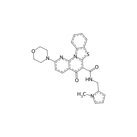 Cn1cccc1CNC(=O)c1c(=O)c2ccc(N3CCOCC3)nc2n2c1sc1ccccc12